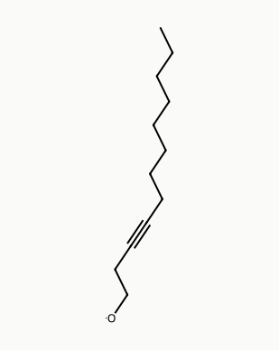 CCCCCCCCC#CCC[O]